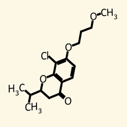 COCCCOc1ccc2c(c1Cl)OC(C(C)C)CC2=O